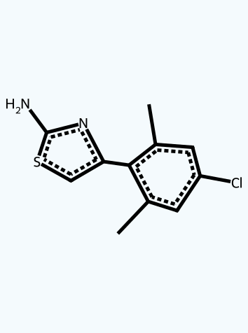 Cc1cc(Cl)cc(C)c1-c1csc(N)n1